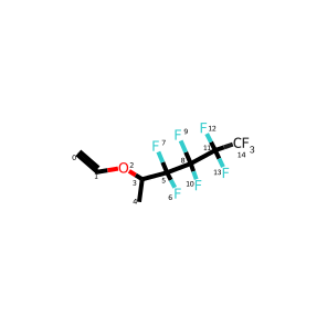 C=COC(C)C(F)(F)C(F)(F)C(F)(F)C(F)(F)F